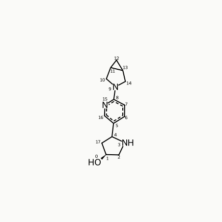 O[C@@H]1CNC(c2ccc(N3CC4CC4C3)nc2)C1